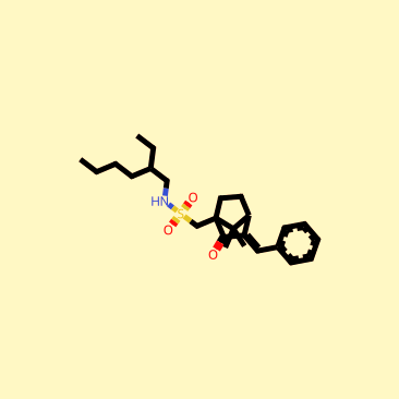 CCCCC(CC)CNS(=O)(=O)CC12CCC(C(=Cc3ccccc3)C1=O)C2(C)C